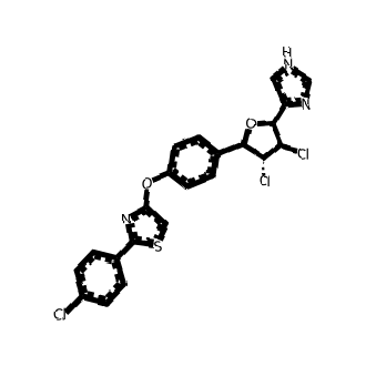 Clc1ccc(-c2nc(Oc3ccc(C4OC(c5c[nH]cn5)C(Cl)[C@@H]4Cl)cc3)cs2)cc1